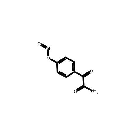 NC(=O)C(=O)c1ccc(O[SH]=O)cc1